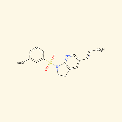 COc1cccc(S(=O)(=O)N2CCc3cc(/C=C/C(=O)O)cnc32)c1